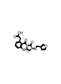 Nc1cccc(CC(=O)O)c1C(=O)N1CCN(N=Cc2ccoc2)C1=O